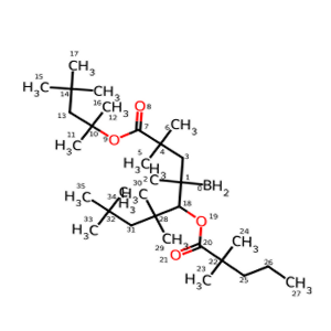 BC(C)(CC(C)(C)C(=O)OC(C)(C)CC(C)(C)C)C(OC(=O)C(C)(C)CCC)C(C)(C)CC(C)(C)C